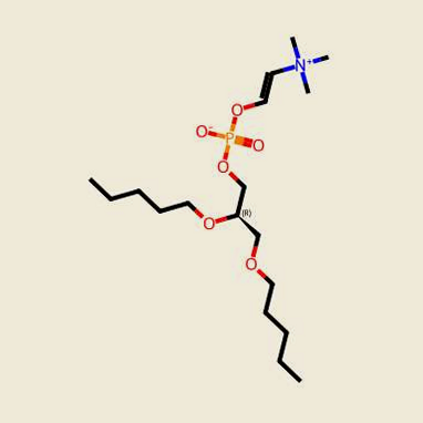 CCCCCOC[C@H](COP(=O)([O-])OC=C[N+](C)(C)C)OCCCCC